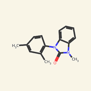 Cc1ccc(-n2c(=O)n(C)c3ccccc32)c(C)c1